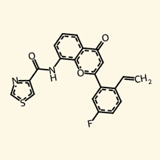 C=Cc1ccc(F)cc1-c1cc(=O)c2cccc(NC(=O)c3cscn3)c2o1